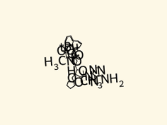 C[C@H](NP(=O)(OC[C@H]1O[C@@H](n2cnc3c(N)ncnc32)[C@@]2(C)OC3(CCCC3)OC12)Oc1cccc2ccccc12)C(=O)OC(C)(C)C